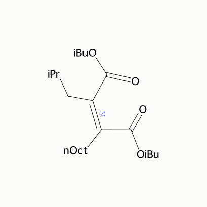 CCCCCCCC/C(C(=O)OCC(C)C)=C(\CC(C)C)C(=O)OCC(C)C